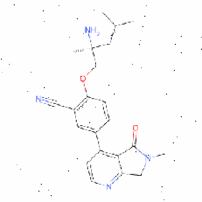 CC(C)C[C@](C)(N)COc1ccc(-c2ccnc3c2C(=O)N(C)C3)cc1C#N